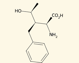 C[C@H](O)[C@H](Cc1ccccc1)[C@H](N)C(=O)O